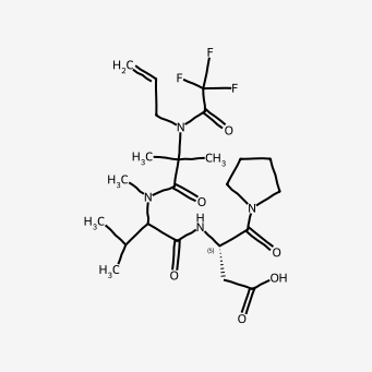 C=CCN(C(=O)C(F)(F)F)C(C)(C)C(=O)N(C)C(C(=O)N[C@@H](CC(=O)O)C(=O)N1CCCC1)C(C)C